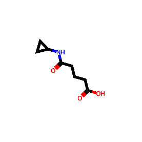 O=C(O)CCCC(=O)NC1CC1